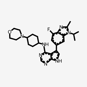 Cc1nc2c(F)cc(-c3c[nH]c4ncnc(NC5CCC(N6CCOCC6)CC5)c34)cc2n1C(C)C